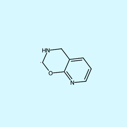 [CH]1NCc2cccnc2O1